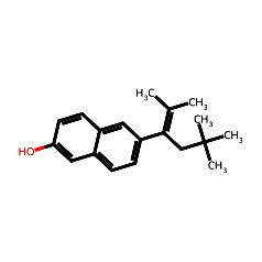 CC(C)=C(CC(C)(C)C)c1ccc2cc(O)ccc2c1